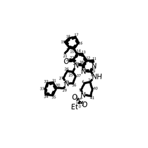 CCS(=O)(=O)N1CCC(Nc2ncc3cc(-c4ccccc4C)c(=O)n(C4CCN(Cc5ccccc5)CC4)c3n2)CC1